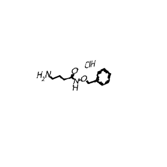 Cl.NCCCC(=O)NOCc1ccccc1